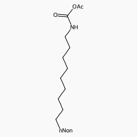 CCCCCCCCCCCCCCCCCCNC(=O)OC(C)=O